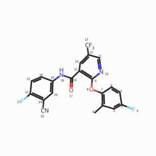 Cc1cc(F)ccc1Oc1ncc(C(F)(F)F)cc1C(=O)Nc1ccc(F)c(C#N)c1